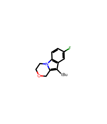 CC(C)(C)c1c2n(c3ccc(F)cc13)CCOC2